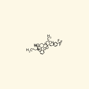 C=CCN1CC[C@]23c4c5cccc4OC2C(N(CC(C)C)C(=O)/C=C/c2ccc(C(F)(F)F)cc2)CC[C@@]3(O)[C@H]1C5